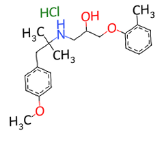 COc1ccc(CC(C)(C)NCC(O)COc2ccccc2C)cc1.Cl